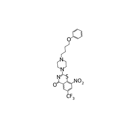 O=c1nc(N2CCN(CCCCOc3ccccc3)CC2)sc2c([N+](=O)[O-])cc(C(F)(F)F)cc12